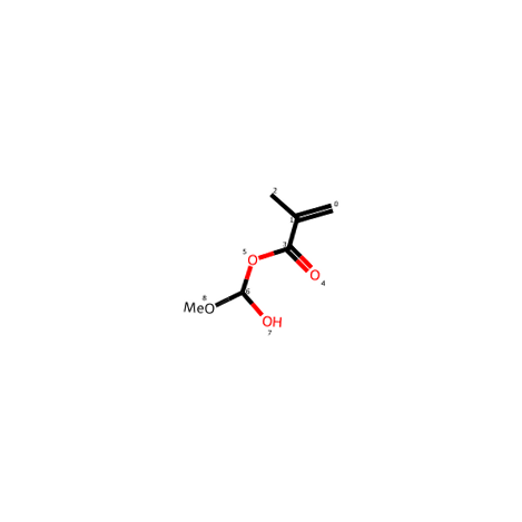 C=C(C)C(=O)OC(O)OC